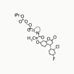 CC(C)OC(=O)OCOC(=O)[C@H]1CCCN(C(=O)[C@@H](C)Oc2ccc3c(-c4ccc(F)cc4Cl)cc(=O)oc3c2)C1